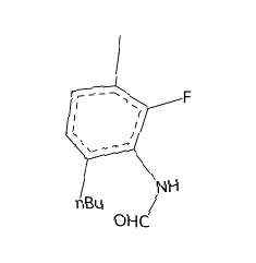 CCCCc1ccc(C)c(F)c1NC=O